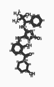 CC(C)(C)C(Nc1n[s+]([O-])nc1Nc1cccc(C(=O)N2CCCC(O)C2)c1O)c1ccccc1